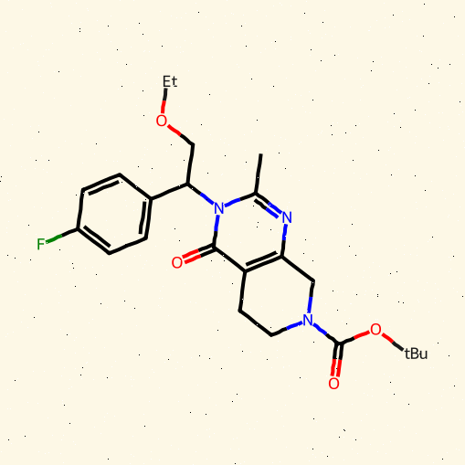 CCOCC(c1ccc(F)cc1)n1c(C)nc2c(c1=O)CCN(C(=O)OC(C)(C)C)C2